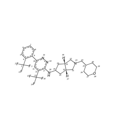 FC(F)(F)c1ccccc1-c1cc(C(F)(F)F)c(NC2C[C@@H]3CN(CC4CCOCC4)C[C@@H]3C2)nn1